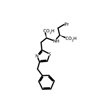 CC(C)C[C@H](N[C@@H](Cc1nc(Cc2ccccc2)cs1)C(=O)O)C(=O)O